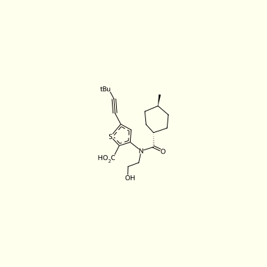 CC(C)(C)C#Cc1cc(N(CCO)C(=O)[C@H]2CC[C@H](C)CC2)c(C(=O)O)s1